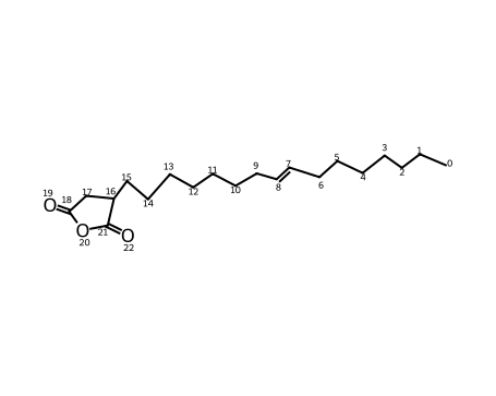 CCCCCCC/C=C/CCCCCCCC1CC(=O)OC1=O